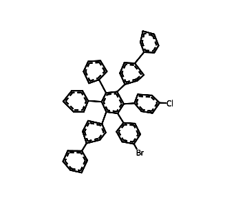 Clc1ccc(-c2c(-c3ccc(Br)cc3)c(-c3ccc(-c4ccccc4)cc3)c(-c3ccccc3)c(-c3ccccc3)c2-c2ccc(-c3ccccc3)cc2)cc1